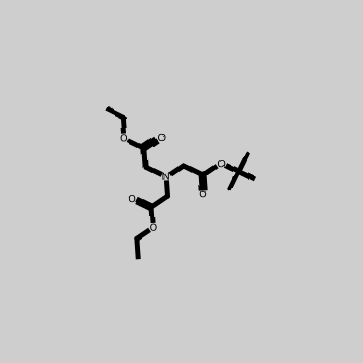 CCOC(=O)CN(CC(=O)OCC)CC(=O)OC(C)(C)C